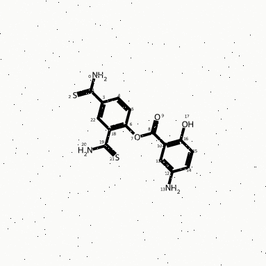 NC(=S)c1ccc(OC(=O)c2cc(N)ccc2O)c(C(N)=S)c1